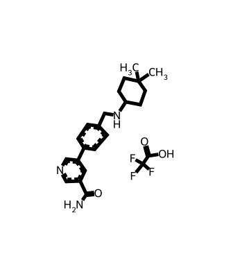 CC1(C)CCC(NCc2ccc(-c3cncc(C(N)=O)c3)cc2)CC1.O=C(O)C(F)(F)F